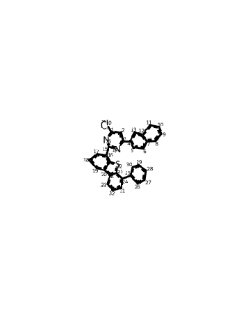 Clc1cc(-c2ccc3ccccc3c2)nc(-c2cccc3c2sc2c(-c4ccccc4)cccc23)n1